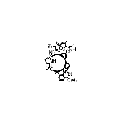 CCn1c(-c2cnccc2COC)c2c3cc(ccc31)-c1cc(O)cc(c1)C[C@H](NC(=O)C(C(C)C)N(C)C(=O)CN(C)C(=O)[C@@H]1N[C@H]1C)C(=O)N1CCC[C@H](N1)C(=O)OCC(C)(C)C2